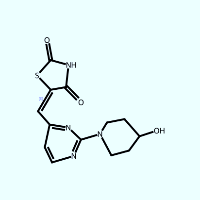 O=C1NC(=O)/C(=C\c2ccnc(N3CCC(O)CC3)n2)S1